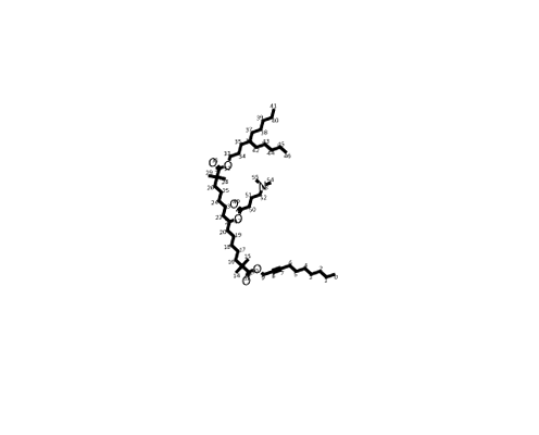 CCCCCCCC#CCOC(=O)C(C)(C)CCCCCC(CCCCCC(C)(C)C(=O)OCCCC(CCCCC)CCCCC)OC(=O)CCCN(C)C